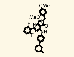 COc1ccc(CN2Cc3nc(-c4c(F)cccc4F)nc(Nc4ccc(C5CCCC(C)C5)cc4)c3C2=O)c(OC)c1